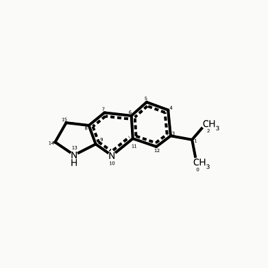 CC(C)c1ccc2cc3c(nc2c1)NCC3